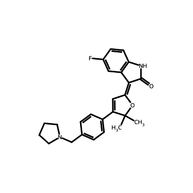 CC1(C)OC(=C2C(=O)Nc3ccc(F)cc32)C=C1c1ccc(CN2CCCC2)cc1